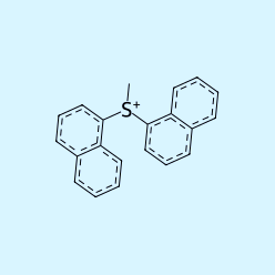 C[S+](c1cccc2ccccc12)c1cccc2ccccc12